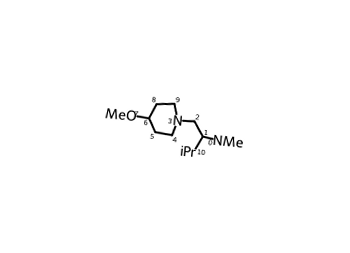 CNC(CN1CCC(OC)CC1)C(C)C